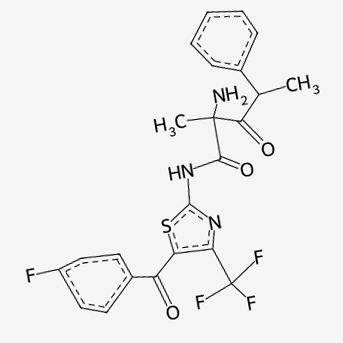 CC(C(=O)C(C)(N)C(=O)Nc1nc(C(F)(F)F)c(C(=O)c2ccc(F)cc2)s1)c1ccccc1